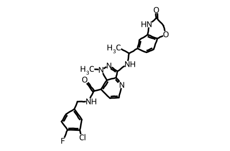 CC(Nc1nn(C)c2c(C(=O)NCc3ccc(F)c(Cl)c3)ccnc12)c1ccc2c(c1)NC(=O)CO2